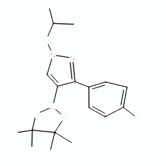 CC(C)On1cc(B2OC(C)(C)C(C)(C)O2)c(-c2ccc(F)cc2)n1